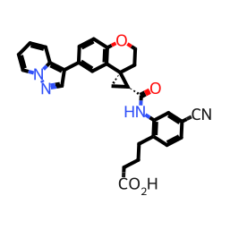 N#Cc1ccc(CCCC(=O)O)c(NC(=O)[C@@H]2C[C@]23CCOc2ccc(-c4cnn5ccccc45)cc23)c1